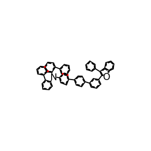 c1ccc(-c2ccccc2N(c2ccc(-c3ccc(-c4cccc(-c5oc6ccccc6c5-c5ccccc5)c4)cc3)cc2)c2ccccc2-c2ccccc2)cc1